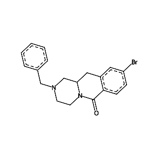 O=C1c2ccc(Br)cc2CC2CN(Cc3ccccc3)CCN12